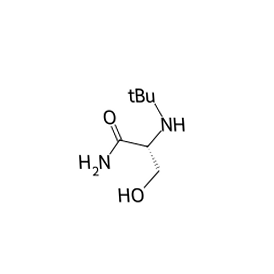 CC(C)(C)N[C@H](CO)C(N)=O